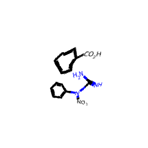 N=C(N)N(c1ccccc1)[N+](=O)[O-].O=C(O)c1ccccc1